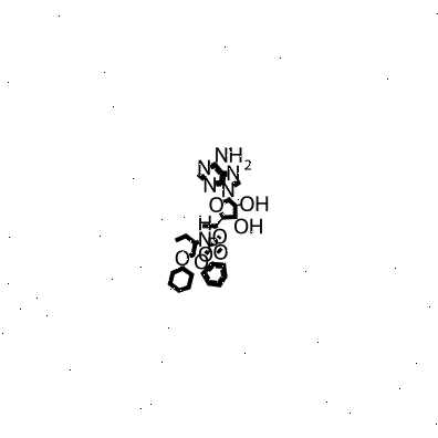 CCC(NP(=O)(Oc1ccccc1)OC(C)[C@H]1O[C@@H](n2cnc3c(N)ncnc32)[C@H](O)[C@@H]1O)C(=O)OC1CCCCC1